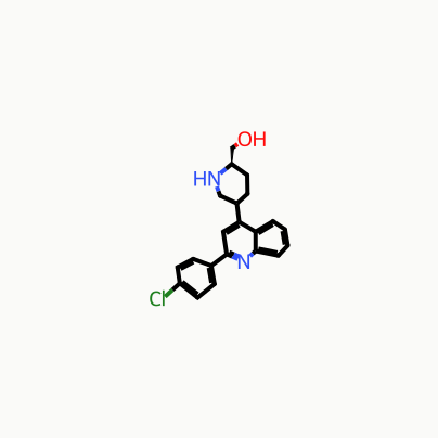 OC[C@H]1CCC(c2cc(-c3ccc(Cl)cc3)nc3ccccc23)CN1